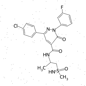 CC(CS(C)(=N)=O)NC(=O)c1cc(-c2ccc(Cl)cc2)nn(-c2cccc(F)c2)c1=O